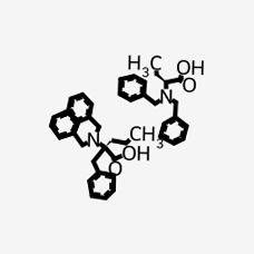 CCC[C@@](Cc1ccccc1)(C(=O)O)N(Cc1ccccc1)Cc1ccccc1.CC[C@@H](C(=O)O)N(Cc1ccccc1)Cc1ccccc1